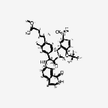 COC(=O)CC[C@H](C)c1ccc(C(Nc2ccc3cc[nH]c(=O)c3c2)C(=O)N(C)Cc2cc([N+](=O)[O-])ccc2OC(F)(F)F)cc1C